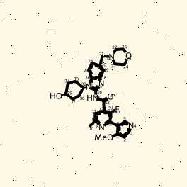 COc1ccncc1-c1nc(C)cc(C(=O)Nc2nc3cc(CN4CCOCC4)ccc3n2[C@H]2CC[C@@H](O)CC2)c1F